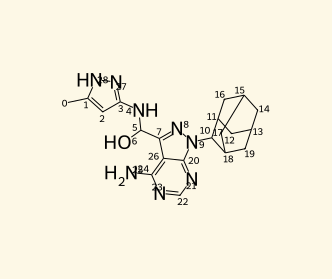 Cc1cc(NC(O)c2nn(C3C4CC5CC(C4)CC3C5)c3ncnc(N)c23)n[nH]1